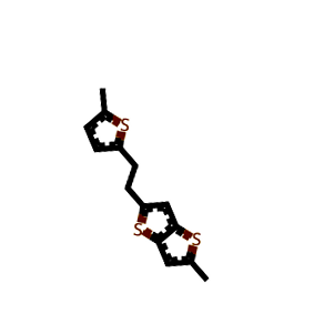 Cc1ccc(CCc2cc3sc(C)cc3s2)s1